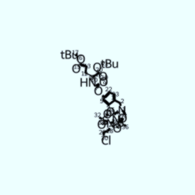 CN(Cc1ccc(OC(=O)N[C@@H](CCC(=O)OC(C)(C)C)C(=O)OC(C)(C)C)cc1)C(=O)N(N(CCCl)S(C)(=O)=O)S(C)(=O)=O